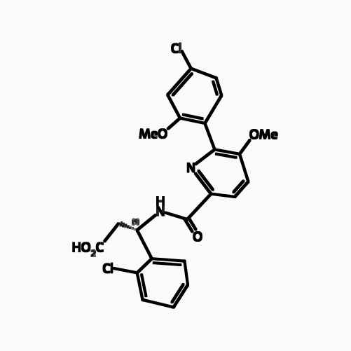 COc1cc(Cl)ccc1-c1nc(C(=O)N[C@@H](CC(=O)O)c2ccccc2Cl)ccc1OC